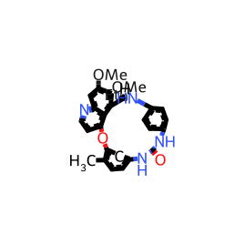 CC[C@@H]1Nc2ccc(cc2)NC(=O)Nc2ccc(C)c(c2)Oc2ccnc3cc(OC)c(OC)c1c23